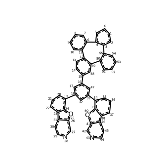 c1ccc2c(c1)-c1ccccc1-c1ccc(-c3cc(-c4cccc5c4oc4cnccc45)cc(-c4cccc5c4oc4cnccc45)c3)cc1-c1ccccc1-2